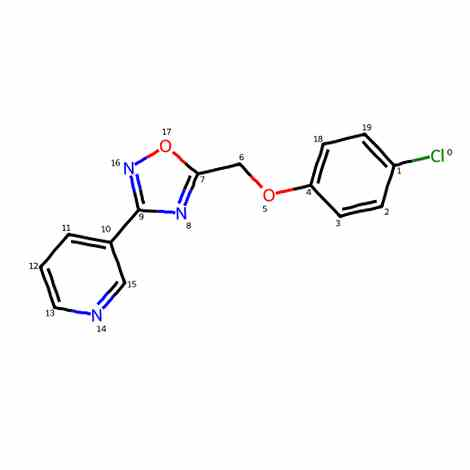 Clc1ccc(OCc2nc(-c3cccnc3)no2)cc1